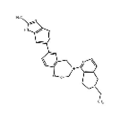 CCN1CCc2c(ncnc2N2CCOc3ccc(-c4ccc5nc(C)[nH]c5c4)cc3C2)C1